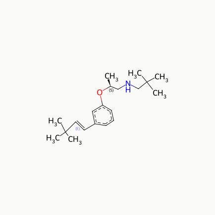 C[C@@H](CNCC(C)(C)C)Oc1cccc(/C=C/C(C)(C)C)c1